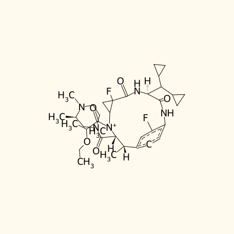 CCOC(C)C(=O)[N+]1(C)C2CC2(F)C(=O)N[C@@H](C(C2CC2)C2CC2)C(=O)Nc2ccc(cc2F)[C@H](C)[C@@H]1C(=O)N1CCN(C)[C@H](C)C1